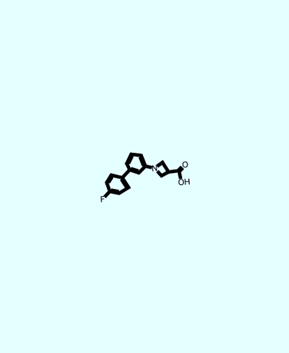 O=C(O)C1CN(c2cccc(-c3ccc(F)cc3)c2)C1